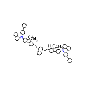 CC1(C)c2cc(/C=C/c3ccc(/C=C/c4ccc5c(c4)C(C)(C)c4cc(N(c6ccc(-c7ccccc7)cc6)c6cccc7ccccc67)ccc4-5)c4ccccc34)ccc2-c2ccc(N(c3ccc(-c4ccccc4)cc3)c3cccc4ccccc34)cc21